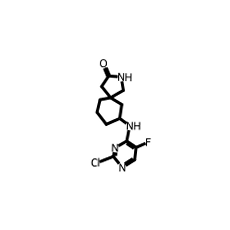 O=C1CC2(CCCC(Nc3nc(Cl)ncc3F)C2)CN1